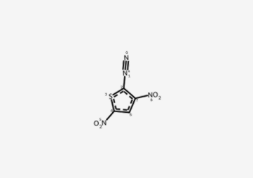 N#[N+]c1sc([N+](=O)[O-])cc1[N+](=O)[O-]